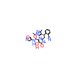 CCn1cc([C@@H](c2ccccc2C#N)[C@H](C)c2nc(C(=O)Nc3cnoc3)c(O)c(=O)n2C)c(C)n1